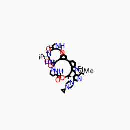 CCn1c(-c2cc(N3CCN(C4CC4)CC3)cnc2[C@H](C)OC)c2c3cc(ccc31)-c1cc3cc(c1)OC[C@H]1NCC[C@@H]1C(=O)N(C)[C@@H](C(C)C)C(=O)N[C@@H](C3)C(=O)N1CCC[C@H](N1)C(=O)OCC(C)(C)C2